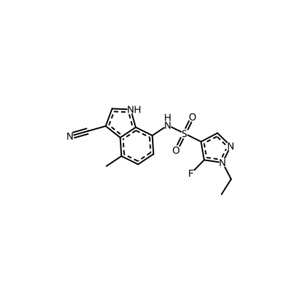 CCn1ncc(S(=O)(=O)Nc2ccc(C)c3c(C#N)c[nH]c23)c1F